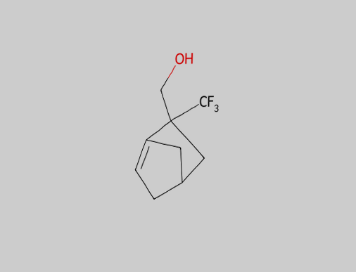 OCC1(C(F)(F)F)CC2CC=C1C2